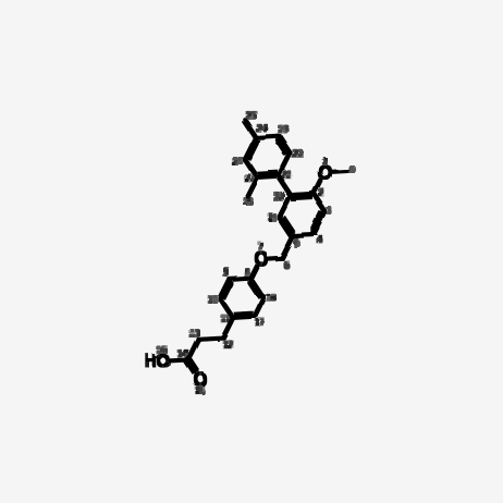 COc1ccc(COc2ccc(CCC(=O)O)cc2)cc1-c1ccc(C)cc1C